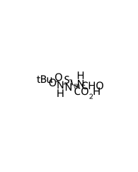 CC(C)(C)OC(=O)Nc1nc([C@@H](NC=O)C(=O)O)cs1